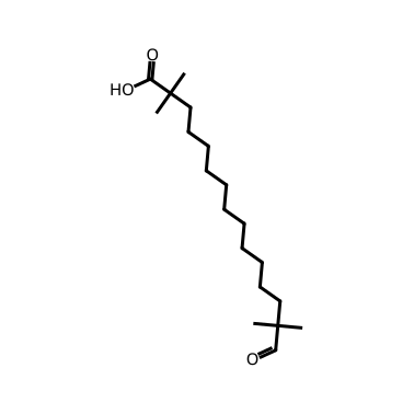 CC(C)(C=O)CCCCCCCCCCCC(C)(C)C(=O)O